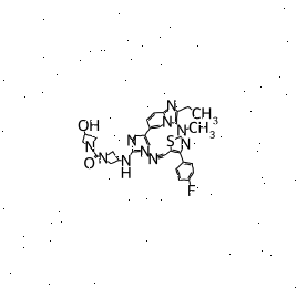 CCc1nc2ccc(-c3cnc(NC4CN(C(=O)N5CC(O)C5)C4)nc3)cn2c1N(C)c1nc(-c2ccc(F)cc2)c(C#N)s1